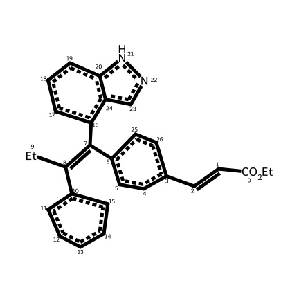 CCOC(=O)/C=C/c1ccc(/C(=C(/CC)c2ccccc2)c2cccc3[nH]ncc23)cc1